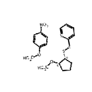 O=C(O)O[C@@H]1CCC[C@H]1SSc1ccccn1.O=C(O)Oc1ccc([N+](=O)[O-])cc1